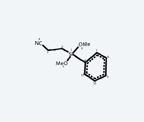 CO[Si](CCC#N)(OC)c1ccccc1